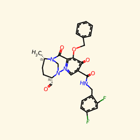 C[C@H]1CC[C@@H](C=O)N2CN1C(=O)c1c(OCc3ccccc3)c(=O)c(C(=O)NCc3ccc(F)cc3F)cn12